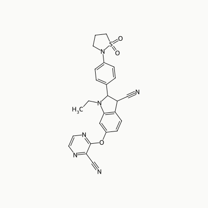 CCN1c2cc(Oc3nccnc3C#N)ccc2C(C#N)C1c1ccc(N2CCCS2(=O)=O)cc1